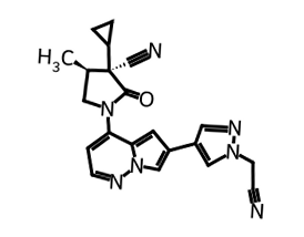 C[C@@H]1CN(c2ccnn3cc(-c4cnn(CC#N)c4)cc23)C(=O)[C@]1(C#N)C1CC1